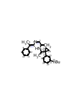 C=C(/C=N\C=C(/C)c1ccccc1)NC(=C)C1(c2cccc(CCCC)c2)CC1